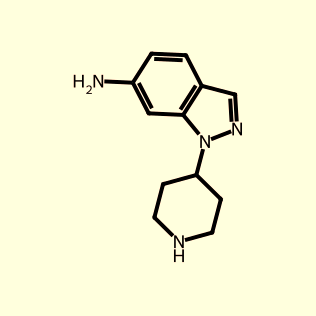 Nc1ccc2cnn(C3CCNCC3)c2c1